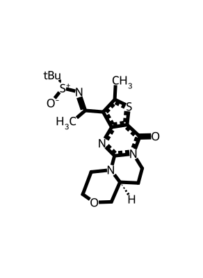 C/C(=N\[S@+]([O-])C(C)(C)C)c1c(C)sc2c(=O)n3c(nc12)N1CCOC[C@@H]1CC3